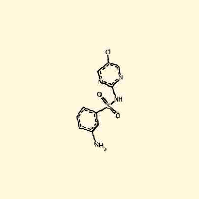 Nc1cccc(S(=O)(=O)Nc2ncc(Cl)cn2)c1